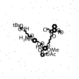 COc1cc(C(=O)N2CCC[C@H]2COC(C)=O)c(NC(=O)OCc2ccc(NC(=O)[C@@H](N)CCCCNC(=O)OC(C)(C)C)cc2)cc1OCCCCCC(=O)N1C[C@@H](CCl)c2c1cc(OP=O)c1ccccc21